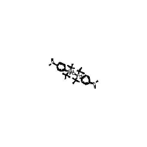 CN(C)c1ccc([PH]([Pd][PH](c2ccc(N(C)C)cc2)(C(C)(C)C)C(C)(C)C)(C(C)(C)C)C(C)(C)C)cc1